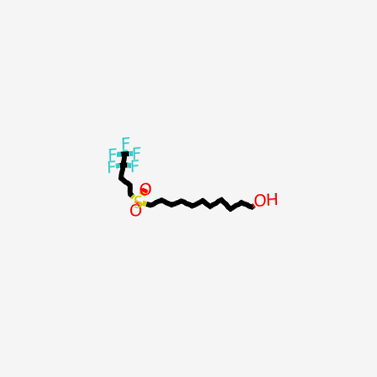 O=S(=O)(CCCCCCCCCCCO)CCCC(F)(F)C(F)(F)F